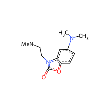 CNCCn1c(=O)oc2ccc(N(C)C)cc21